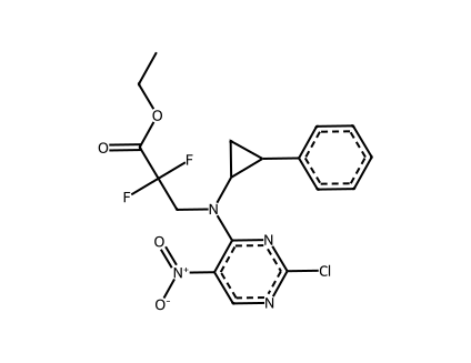 CCOC(=O)C(F)(F)CN(c1nc(Cl)ncc1[N+](=O)[O-])C1CC1c1ccccc1